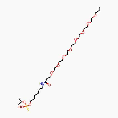 CCCOCCOCCOCCOCCOCCOCCOCCOCCC(=O)NCCCCCCOP(O)(=S)OC(C)C